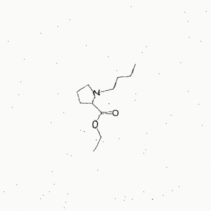 CCCCN1CCCC1C(=O)OCC